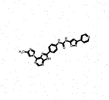 Cc1cn(-c2ncnc3[nH]c(-c4ccc(NC(=O)Nc5cc(-c6ccncc6)no5)cc4)nc23)cn1